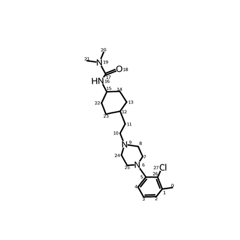 Cc1cccc(N2CCN(CCC3CCC(NC(=O)N(C)C)CC3)CC2)c1Cl